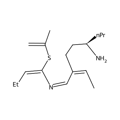 C=C(C)SC(=C/CC)/N=C\C(=C/C)CC[C@H](N)CCC